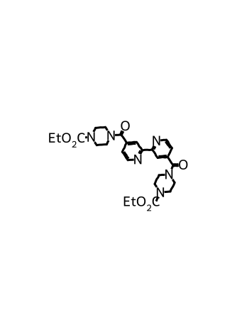 CCOC(=O)N1CCN(C(=O)c2ccnc(-c3cc(C(=O)N4CCN(C(=O)OCC)CC4)ccn3)c2)CC1